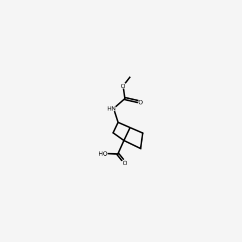 COC(=O)NC1CC2(C(=O)O)CCC12